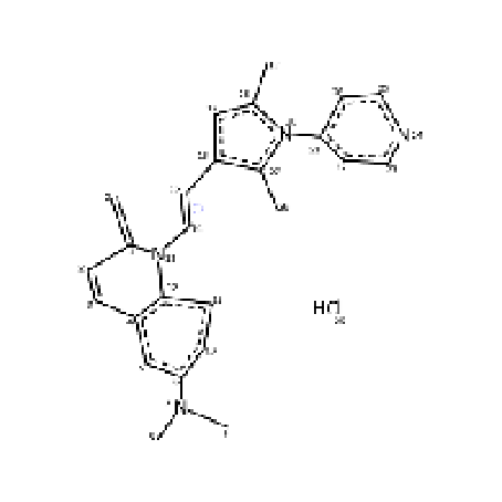 C=C1C=Cc2cc(N(C)C)ccc2N1/C=C/c1cc(C)n(-c2ccncc2)c1C.Cl